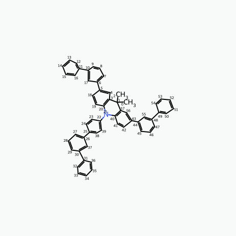 CC1(C)c2cc(-c3cccc(-c4ccccc4)c3)ccc2N(c2ccc(-c3cccc(-c4ccccc4)c3)cc2)c2ccc(-c3cccc(-c4ccccc4)c3)cc21